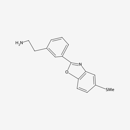 CSc1ccc2oc(-c3cccc(CCN)c3)nc2c1